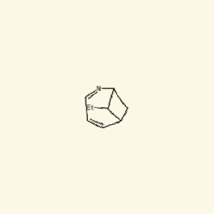 CCC1C2C=CC=NC1C2